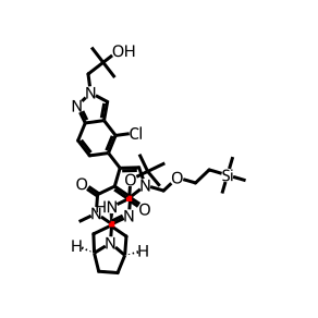 Cn1c(N2[C@@H]3CC[C@H]2C[C@@H](NC(=O)OC(C)(C)C)C3)nc2c(c(-c3ccc4nn(CC(C)(C)O)cc4c3Cl)cn2COCC[Si](C)(C)C)c1=O